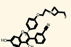 CC1=C(c2cccc(C#N)c2)[C@@H](c2ccc(OCCN3CC(CF)C3)cc2)Oc2cc(O)ccc21